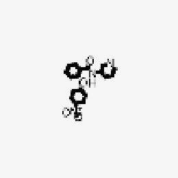 O=C(Nc1cccnc1)c1ccccc1Oc1ccc([N+](=O)[O-])cc1